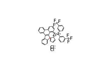 FC(F)(F)c1cccc([C](c2cccc(C(F)(F)F)c2)=[Zr+2]([c]2cccc3c2c2c(c4ccccc43)-c3ccccc3C2)[CH]2C=CC=C2)c1.[Cl-].[Cl-]